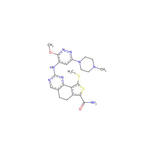 COc1nnc(N2CCN(C)CC2)cc1Nc1ncc2c(n1)-c1c(SC)sc(C(N)=O)c1CC2